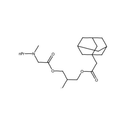 [CH2]C(COC(=O)CN(C)CCC)COC(=O)CC12CC3CC(CC(C3)C1)C2